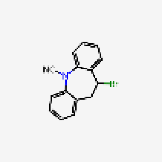 N#CN1c2ccccc2CC(Br)c2ccccc21